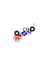 CCS(=O)(=O)c1ccccc1C(=O)N1CCN(c2nc3ccc(F)cc3s2)C(C)C1